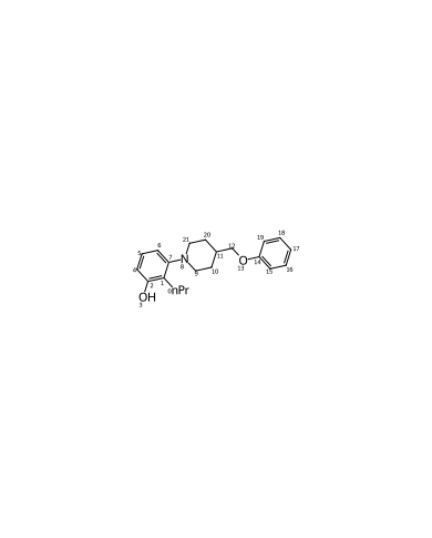 CCCc1c(O)cccc1N1CCC(COc2ccccc2)CC1